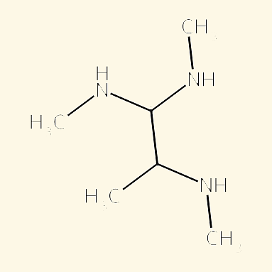 CN[C](NC)C(C)NC